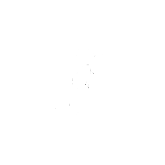 COC(=O)c1c(C=O)c2ccc(Cc3ccccc3F)nc2n1C